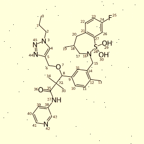 CCCn1cc(COC(c2ccc(C)c(CN3CC(C)Cc4ccc(F)cc4S3(O)O)c2)C(C)(C)C(=O)Nc2cccnc2)nn1